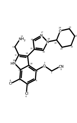 N#CCOc1cc(Cl)c(Cl)c2[nH]c(CN)c(-c3cnn(C4CCCCO4)c3)c12